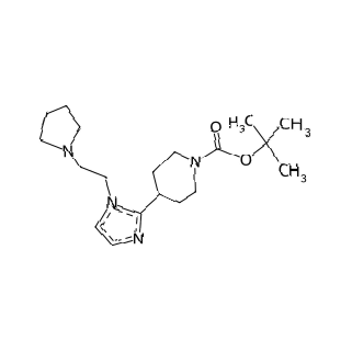 CC(C)(C)OC(=O)N1CCC(c2nccn2CCN2CCCC2)CC1